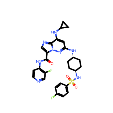 O=C(Nc1ccncc1F)c1cnc2c(NC3CC3)cc(N[C@H]3CC[C@H](NS(=O)(=O)c4ccc(F)cc4)CC3)nn12